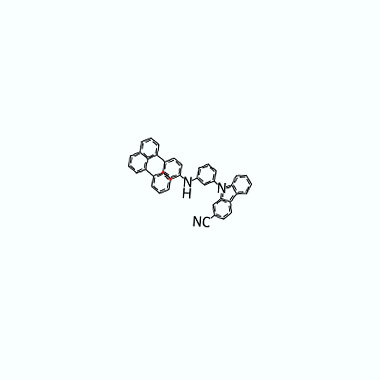 N#Cc1ccc2c3ccccc3n(-c3cccc(Nc4ccc(-c5cccc6cccc(-c7ccccc7)c56)cc4)c3)c2c1